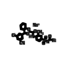 CCC(=O)[N-]S(=O)(=O)c1ccc(NC(=O)COc2ccccc2C(=O)c2cc(Cl)cc(C#N)c2)c(C)c1.[Na+]